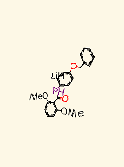 COc1cccc(OC)c1C(=O)Pc1ccc(OCc2ccccc2)cc1.[LiH]